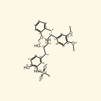 COc1ccccc1C[C@@H](NC[C@@H](O)Cc1ccc(O)c(NS(C)(=O)=O)c1)c1ccc(OC)c(OC)c1